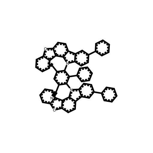 N#Cc1cc(C#N)c(-n2c3ccc(-c4ccccc4)cc3c3ccc4oc5ccccc5c4c32)c(-c2ccccc2)c1-n1c2ccc(-c3ccccc3)cc2c2ccc3oc4ccccc4c3c21